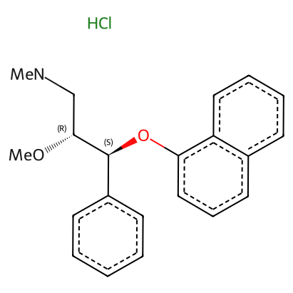 CNC[C@@H](OC)[C@@H](Oc1cccc2ccccc12)c1ccccc1.Cl